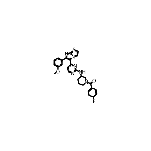 COc1cccc(-c2nc3sccn3c2-c2ccnc(NC3CCCN(C(=O)C4=CCC(F)C=C4)C3)n2)c1